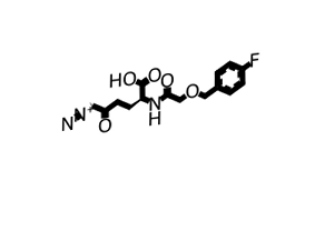 [N-]=[N+]=CC(=O)CC[C@H](NC(=O)COCc1ccc(F)cc1)C(=O)O